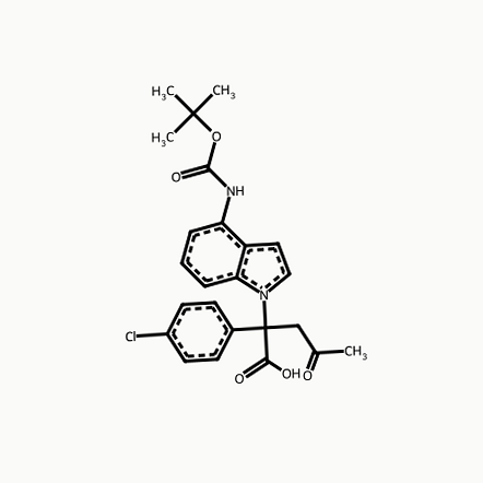 CC(=O)CC(C(=O)O)(c1ccc(Cl)cc1)n1ccc2c(NC(=O)OC(C)(C)C)cccc21